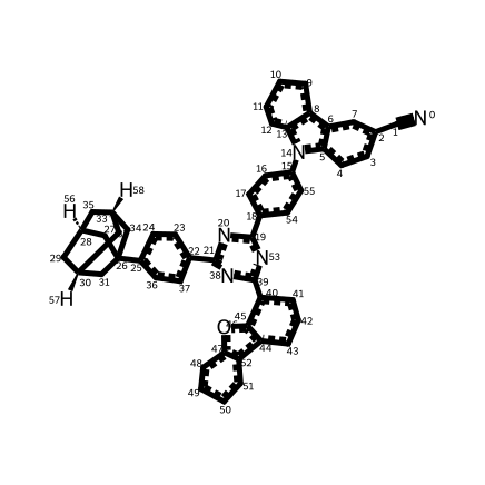 N#Cc1ccc2c(c1)c1ccccc1n2-c1ccc(-c2nc(-c3ccc(C45C[C@H]6C[C@@H](C4)C[C@@H](C5)C6)cc3)nc(-c3cccc4c3oc3ccccc34)n2)cc1